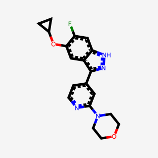 Fc1cc2[nH]nc(-c3ccnc(N4CCOCC4)c3)c2cc1OC1CC1